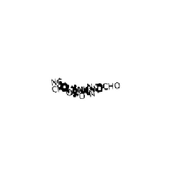 CC1(C)C(NC(=O)c2cnc(N3CCC(C=O)CC3)nc2)C(C)(C)C1Oc1ccc(C#N)c(Cl)c1